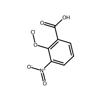 O=C(O)c1cccc([N+](=O)[O-])c1OCl